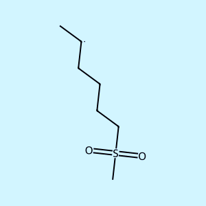 C[CH]CCCCS(C)(=O)=O